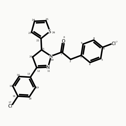 O=C(Cc1ccc(Cl)cc1)N1N=C(c2ccc(Cl)cc2)CC1c1cccs1